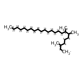 [CH2]CC(C)CCCC(C)C(C)CCCCCCCCCCCCCCCC